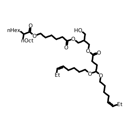 CC/C=C\CCCCOC(CCC(=O)OCC(CO)COC(=O)CCCCCOC(=O)C(CCCCCC)CCCCCCCC)OCCCC/C=C\CC